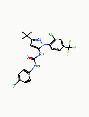 CC(C)(C)c1cc(NC(=O)Nc2ccc(Cl)cc2)n(-c2ccc(C(F)(F)F)cc2Cl)n1